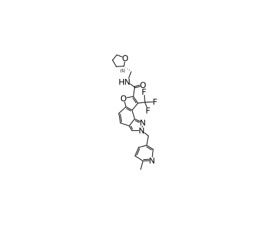 Cc1ccc(Cn2cc3ccc4oc(C(=O)NC[C@@H]5CCCO5)c(C(F)(F)F)c4c3n2)cn1